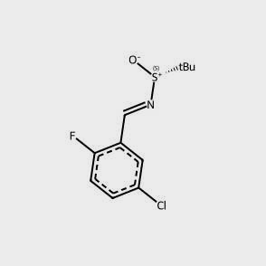 CC(C)(C)[S@@+]([O-])N=Cc1cc(Cl)ccc1F